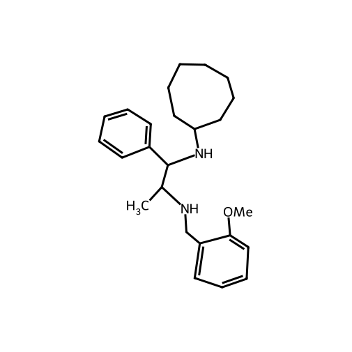 COc1ccccc1CNC(C)C(NC1CCCCCCC1)c1ccccc1